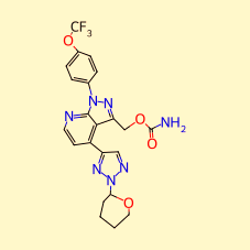 NC(=O)OCc1nn(-c2ccc(OC(F)(F)F)cc2)c2nccc(-c3cnn(C4CCCCO4)n3)c12